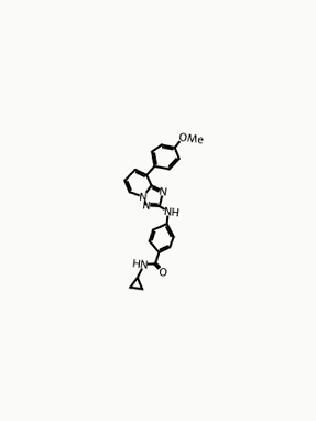 COc1ccc(-c2cccn3nc(Nc4ccc(C(=O)NC5CC5)cc4)nc23)cc1